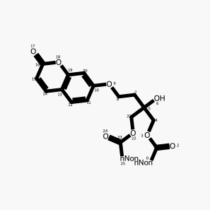 CCCCCCCCCC(=O)OCC(O)(CCOc1ccc2ccc(=O)oc2c1)COC(=O)CCCCCCCCC